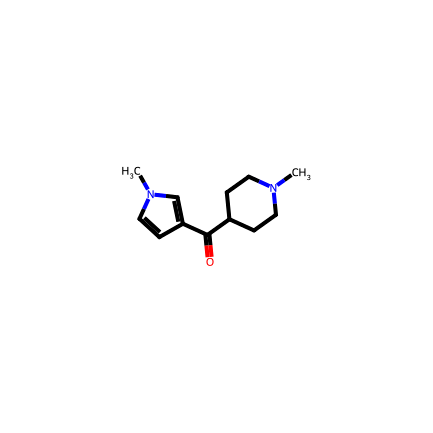 CN1CCC(C(=O)c2ccn(C)c2)CC1